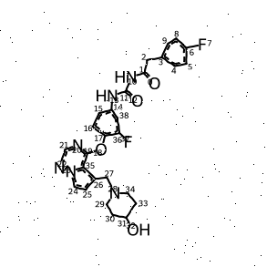 O=C(Cc1ccc(F)cc1)NC(=O)Nc1ccc(Oc2ncnn3ccc(CN4CCC(O)CC4)c23)c(F)c1